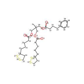 CC(COC(=O)CCCCC1CCSS1)(COC(=O)CCCCC1CCSS1)COC(=O)CCCc1ccccc1